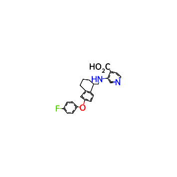 O=C(O)c1ccncc1NCC1CCCc2cc(Oc3ccc(F)cc3)ccc21